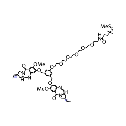 C/C=C1\C[C@H]2C=Nc3cc(OCc4cc(COc5cc6c(cc5OC)C(=O)N5C/C(=C/C)C[C@H]5C=N6)cc(OCCOCCOCCOCCOCCOCCNC(=O)CCC(C)(C)SSC)c4)c(OC)cc3C(=O)N2C1